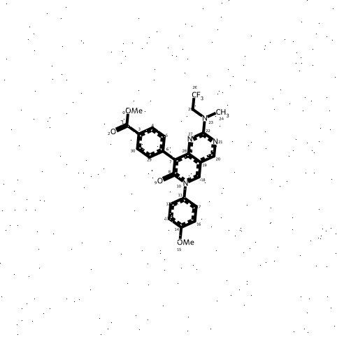 COC(=O)c1ccc(-c2c(=O)n(-c3ccc(OC)cc3)cc3cnc(N(C)CC(F)(F)F)nc23)cc1